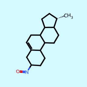 C[C@H]1CCC2C3CC=C4CC(N=O)CCC4C3CCC21